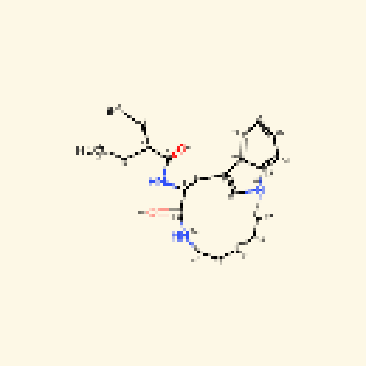 CC(C)C[C@H](CC(=O)O)C(=O)N[C@H]1Cc2cn(c3ccccc23)CCCCCNC1=O